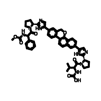 COC(=O)NC(C(=O)N1CCC[C@H]1c1ncc(-c2ccc3c(c2)COc2c-3ccc3cc(-c4cnc([C@@H]5CCCN5C(=O)C(NC(=O)O)C(C)C)[nH]4)ccc23)[nH]1)c1ccccc1